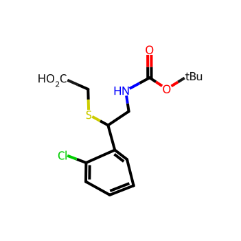 CC(C)(C)OC(=O)NCC(SCC(=O)O)c1ccccc1Cl